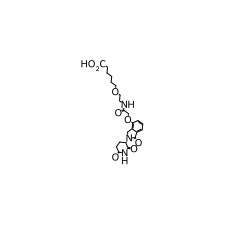 O=C(O)CCCCCOCCNC(=O)COc1cccc2c1CN(C1CCC(=O)NC1=O)C2=O